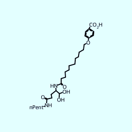 CCCCCNC(=O)CCC(NC(=O)CCCCCCCCCCCOc1ccc(C(=O)O)cc1)C(O)O